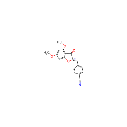 COc1cc(OC)c2c(c1)O/C(=C\c1ccc(C#N)cc1)C2=O